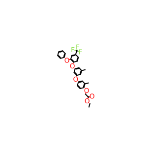 CCOC(=O)COc1ccc(Oc2cc(C)cc(Oc3ccc(C(F)(F)F)cc3Oc3ccccc3)c2)cc1C